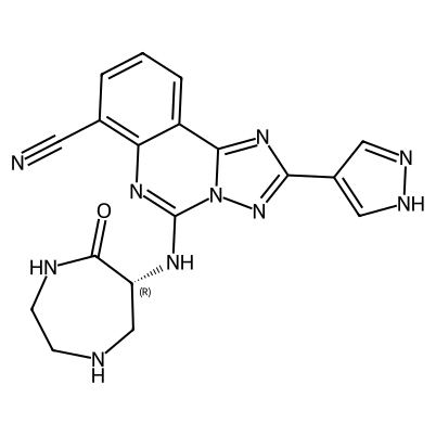 N#Cc1cccc2c1nc(N[C@@H]1CNCCNC1=O)n1nc(-c3cn[nH]c3)nc21